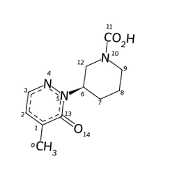 Cc1ccnn([C@@H]2CCCN(C(=O)O)C2)c1=O